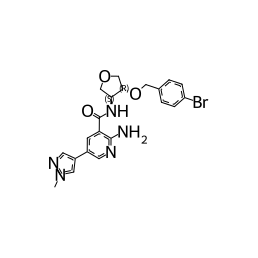 Cn1cc(-c2cnc(N)c(C(=O)N[C@H]3COC[C@@H]3OCc3ccc(Br)cc3)c2)cn1